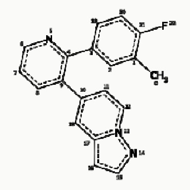 Cc1cc(-c2ncccc2-c2ccn3nccc3c2)ccc1F